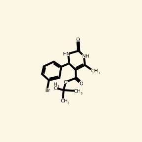 CC1=C(C(=O)OC(C)(C)C)C(c2cccc(Br)c2)NC(=O)N1